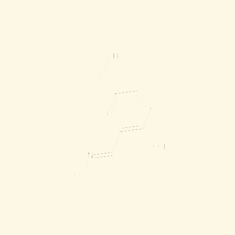 C/N=C/c1cc(OC)ccc1O